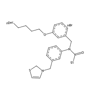 Br.CCCCCCCCCCCCCCOc1cccc(CN(C(=O)CC)c2cccc(CN3C=CSC3)c2)c1